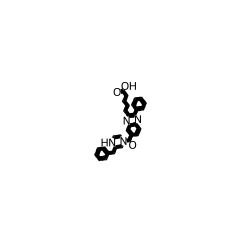 O=C(O)CCCCc1nc2cc(C(=O)N3CCNC(Cc4ccccc4)C3)ccc2nc1-c1ccccc1